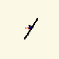 CCCCCCCCCCCCCCCCCCN(CCCCCCCCCCCCCCCCCC)C(NCCC)C(=O)O